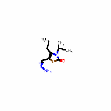 CCCc1c(/C=N\N)sc(=O)n1C(C)C